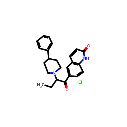 CCC(C(=O)c1ccc2[nH]c(=O)ccc2c1)N1CCC(c2ccccc2)CC1.Cl